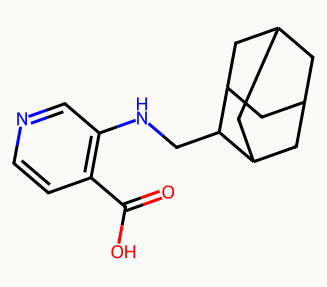 O=C(O)c1ccncc1NCC1C2CC3CC(C2)CC1C3